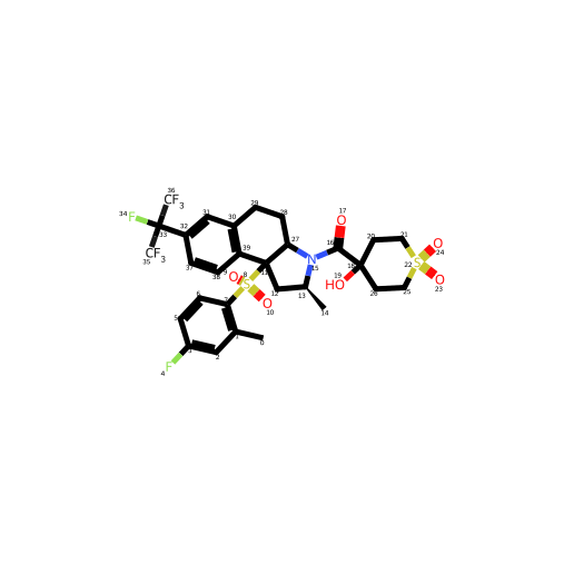 Cc1cc(F)ccc1S(=O)(=O)C12C[C@H](C)N(C(=O)C3(O)CCS(=O)(=O)CC3)C1CCc1cc(C(F)(C(F)(F)F)C(F)(F)F)ccc12